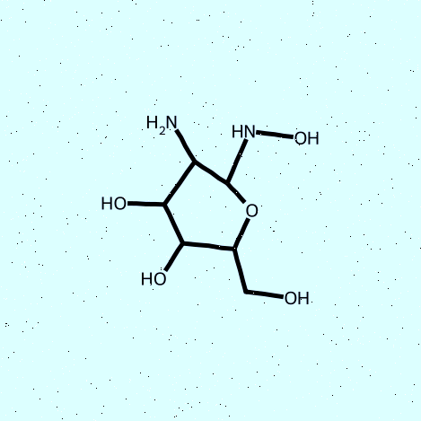 NC1C(NO)OC(CO)C(O)C1O